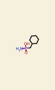 NP(=O)(O)CC1CCCCC1